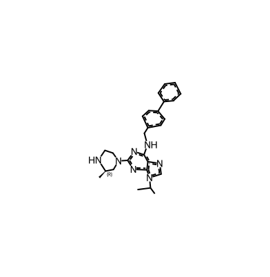 CC(C)n1cnc2c(NCc3ccc(-c4ccccc4)cc3)nc(N3CCN[C@H](C)C3)nc21